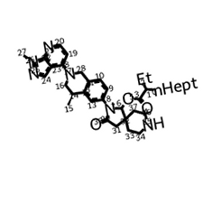 CCCCCCCC(CC)C(=O)OC1N(c2ccc3c(c2)[C@@H](C)CN(c2ccnc4c2cnn4C)C3)C(=O)CC12CCNCC2